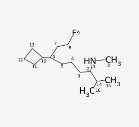 CNC(CCCC(CCF)C1CCC1)C(C)C